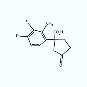 Cc1c(C2(C(=O)O)CCC(=O)C2)ccc(F)c1F